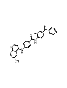 N#Cc1ccc2nccc(Nc3ccc(C(=O)Nc4ccc(Nc5ccncc5)cc4F)cc3)c2c1